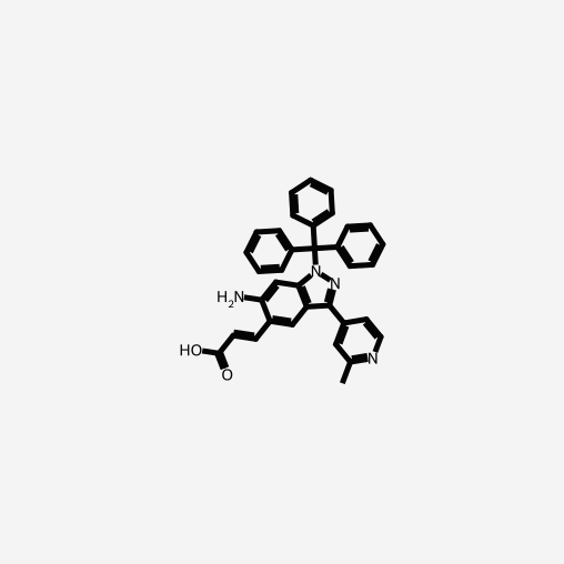 Cc1cc(-c2nn(C(c3ccccc3)(c3ccccc3)c3ccccc3)c3cc(N)c(C=CC(=O)O)cc23)ccn1